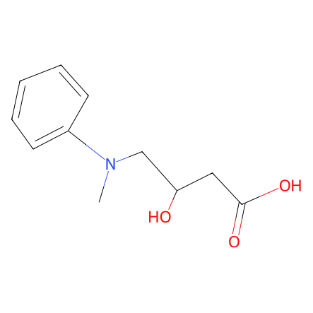 CN(CC(O)CC(=O)O)c1ccccc1